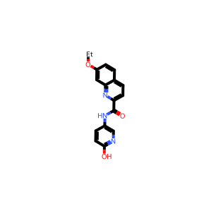 CCOc1ccc2ccc(C(=O)Nc3ccc(O)nc3)nc2c1